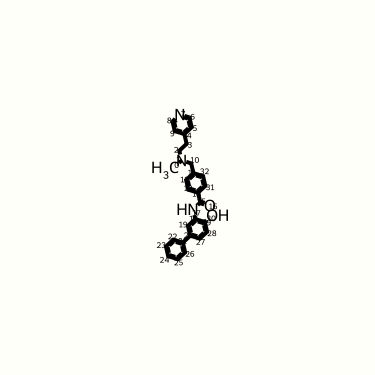 CN(CCc1ccncc1)Cc1ccc(C(=O)Nc2cc(-c3ccccc3)ccc2O)cc1